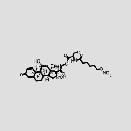 C[C@]12C=CC(=O)C=C1CC[C@H]1[C@@H]3C[C@@H](O)[C@](O)(C(=O)COC(=O)C(CO)NC(=O)CCCCCO[N+](=O)[O-])[C@@]3(C)C[C@H](O)[C@@]12F